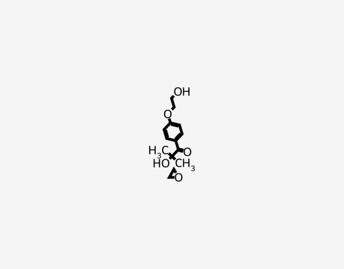 C1CO1.CC(C)(O)C(=O)c1ccc(OCCO)cc1